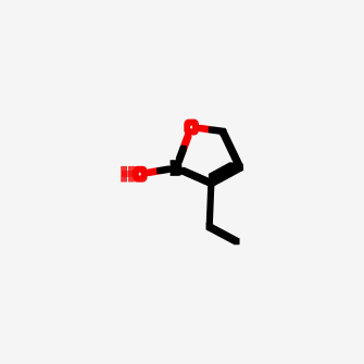 CCC1=CCOB1O